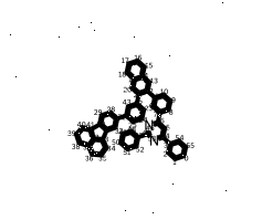 c1ccc(-c2cc(-c3cccc(-c4cc5ccccc5cc4-c4cccc(-c5ccc6c(c5)-c5cccc7cccc-6c57)c4)c3)nc(-c3ccccc3)n2)cc1